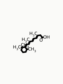 CC(/C=C/C=C(\C)CC(=O)O)=C\C=C1/C(C)CCCC1(C)C